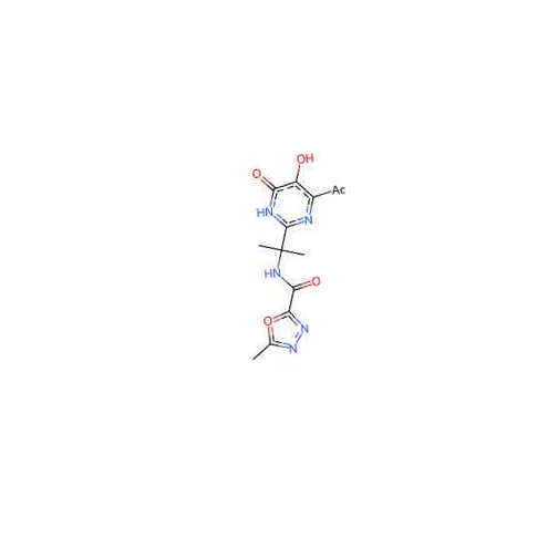 CC(=O)c1nc(C(C)(C)NC(=O)c2nnc(C)o2)[nH]c(=O)c1O